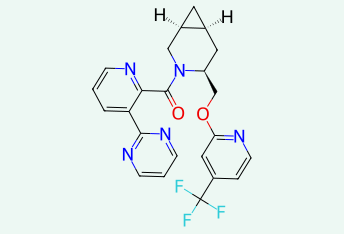 O=C(c1ncccc1-c1ncccn1)N1C[C@H]2C[C@H]2C[C@H]1COc1cc(C(F)(F)F)ccn1